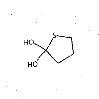 OC1(O)CCCS1